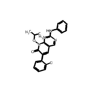 CC(C)On1c(=O)c(-c2ccccc2Cl)cc2cnc(Nc3ccccc3)nc21